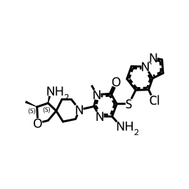 C[C@@H]1OCC2(CCN(c3nc(N)c(Sc4ccn5nccc5c4Cl)c(=O)n3C)CC2)[C@@H]1N